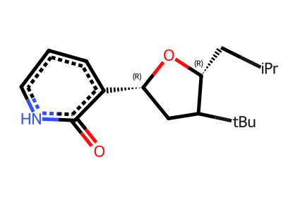 CC(C)C[C@H]1O[C@@H](c2ccc[nH]c2=O)CC1C(C)(C)C